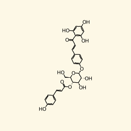 O=C(C=Cc1ccc(O)cc1)O[C@H]1[C@H](O)[C@@H](O)[C@H](Oc2ccc(/C=C/C(=O)c3c(O)cc(O)cc3O)cc2)O[C@@H]1CO